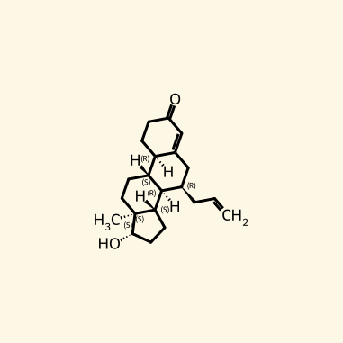 C=CC[C@@H]1CC2=CC(=O)CC[C@@H]2[C@H]2CC[C@]3(C)[C@@H](O)CC[C@H]3[C@H]12